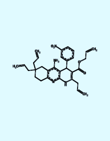 C=CCOC(=O)C1=C(CC=C)Nc2nc3c(c(N)c2C1c1cccc([N+](=O)[O-])c1)CC(CC=C)(CC=C)CC3